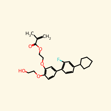 C=C(C)C(=O)OCCOc1cc(-c2ccc(C3CCCCC3)cc2F)ccc1OCCO